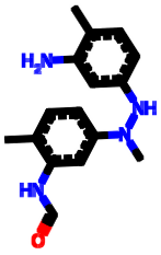 Cc1ccc(NN(C)c2ccc(C)c(NC=O)c2)cc1N